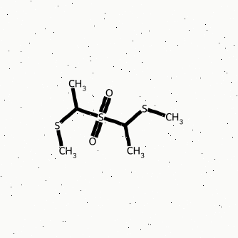 CSC(C)S(=O)(=O)C(C)SC